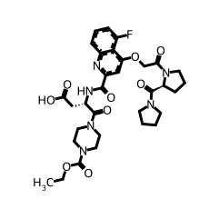 CCOC(=O)N1CCN(C(=O)[C@H](CC(=O)O)NC(=O)c2cc(OCC(=O)N3CCC[C@H]3C(=O)N3CCCC3)c3c(F)cccc3n2)CC1